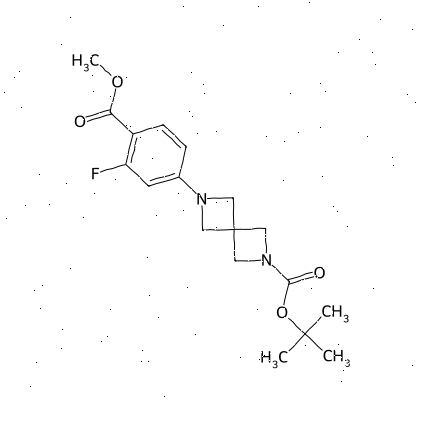 COC(=O)c1ccc(N2CC3(CN(C(=O)OC(C)(C)C)C3)C2)cc1F